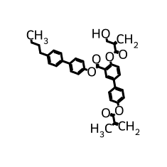 C=C(C)C(=O)Oc1ccc(-c2ccc(OC(=O)C(=C)CO)c(C(=O)Oc3ccc(-c4ccc(CCCC)cc4)cc3)c2)cc1